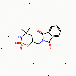 CC1(C)CC(CN2C(=O)c3ccccc3C2=O)OS(=O)(=O)N1